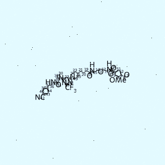 COC(=O)c1ccc(S(=O)(=O)NCCOCCNC(=O)CCCC2CCN(c3cc(N4CC[C@H]4C(=O)NCCc4ccc(C#N)cc4)nc(C(F)(F)F)n3)CC2)cc1